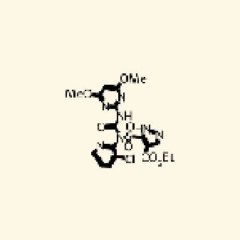 CCOC(=O)c1cn[nH]c1S(=O)(=O)N(C(=O)Nc1nc(OC)cc(OC)n1)c1ncccc1Cl